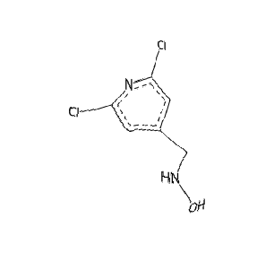 ONCc1cc(Cl)nc(Cl)c1